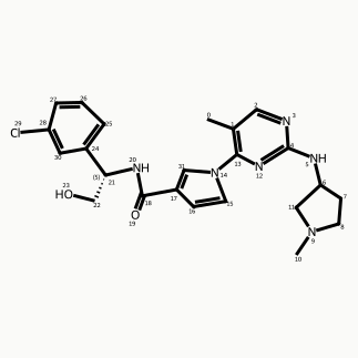 Cc1cnc(NC2CCN(C)C2)nc1-n1ccc(C(=O)N[C@H](CO)c2cccc(Cl)c2)c1